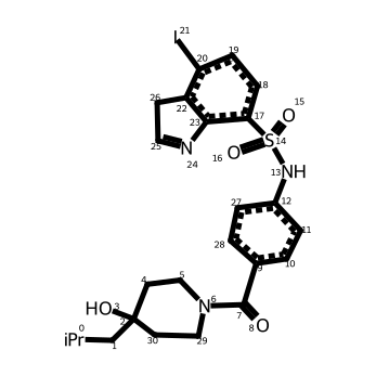 CC(C)CC1(O)CCN(C(=O)c2ccc(NS(=O)(=O)c3ccc(I)c4c3N=CC4)cc2)CC1